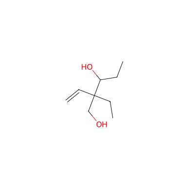 C=CC(CC)(CO)C(O)CC